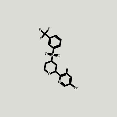 O=S(=O)(c1cccc(C(F)(F)F)c1)C1CCOC(c2ncc(Br)cc2F)C1